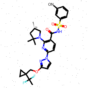 C[C@@H]1CN(c2nc(-n3ccc(OCC4(C(C)(F)F)CC4)n3)ccc2C(=O)NS(=O)(=O)c2cccc(N=O)c2)C(C)(C)C1